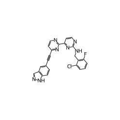 Fc1cccc(Cl)c1CNc1nccc(-c2nccc(C#Cc3ccc4[nH]ncc4c3)n2)n1